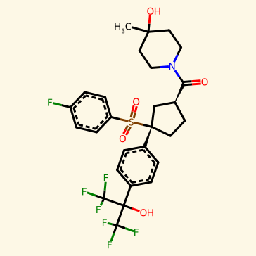 CC1(O)CCN(C(=O)[C@H]2CC[C@](c3ccc(C(O)(C(F)(F)F)C(F)(F)F)cc3)(S(=O)(=O)c3ccc(F)cc3)C2)CC1